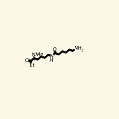 CCC(=O)[C@H](CCCCNC(=O)CCCCCN)NC